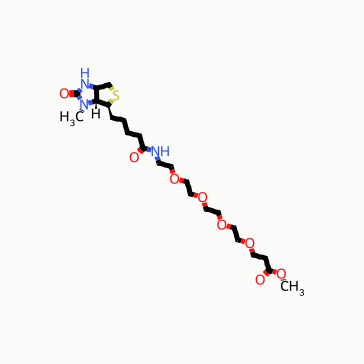 COC(=O)CCOCCOCCOCCOCCNC(=O)CCCC[C@@H]1SCC2NC(=O)N(C)[C@@H]21